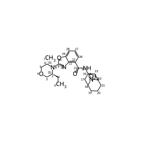 CC[C@H]1COC[C@H](C)N1c1nc2c(C(=O)NC3CC4CCCC(C3)N4C)cccc2o1